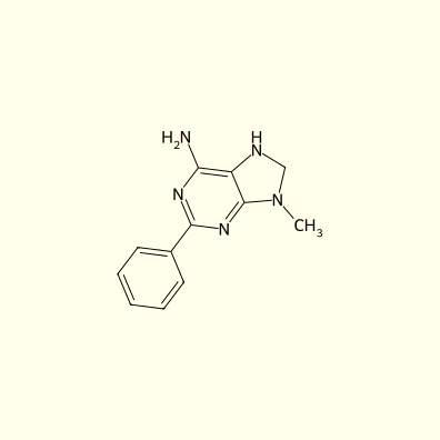 CN1CNc2c(N)nc(-c3ccccc3)nc21